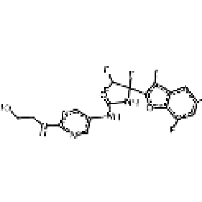 Cc1c(C(F)(NC(=O)Nc2cnc(NCCO)nc2)C(F)F)oc2c(F)cc(F)cc12